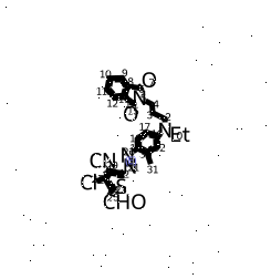 CCN(CCCN1C(=O)c2ccccc2C1=O)c1ccc(/N=N/c2sc(C=O)c(Cl)c2C#N)c(C)c1